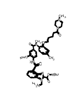 COc1cc(C(=O)N(C)c2ccc(C)cc2OCCCCC(=O)N2CCN(C)CC2)ccc1NC(=O)c1cccc2c1nc(C(=O)OC(C)(C)C)n2CN